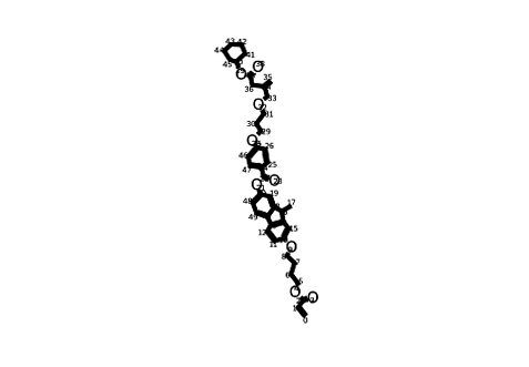 C=CC(=O)OCCCCOc1ccc2c(c1)C(C)c1cc(OC(=O)c3ccc(OCCCOCC(=C)CC(=O)OC4CCCCC4)cc3)ccc1-2